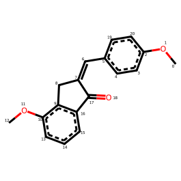 COc1ccc(C=C2Cc3c(OC)cccc3C2=O)cc1